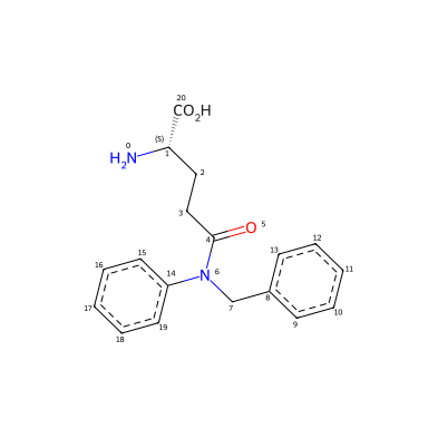 N[C@@H](CCC(=O)N(Cc1ccccc1)c1ccccc1)C(=O)O